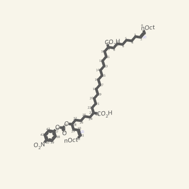 CCCCCCCC/C=C\CCCCCCC(CCCCCCCCCCCCCC(CCCCC(C/C=C\CCCCCCCC)OC(=O)Oc1ccc([N+](=O)[O-])cc1)C(=O)O)C(=O)O